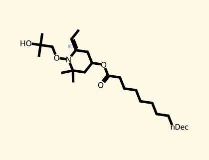 C/C=C1\CC(OC(=O)CCCCCCCCCCCCCCCCC)CC(C)(C)N1OCC(C)(C)O